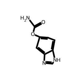 NC(=O)Oc1ccc2[nH]cnc2c1